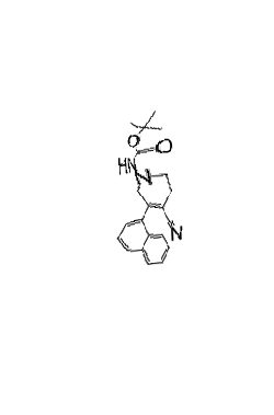 CC(C)(C)OC(=O)NN1CCC(C#N)=C(c2cccc3ccccc23)C1